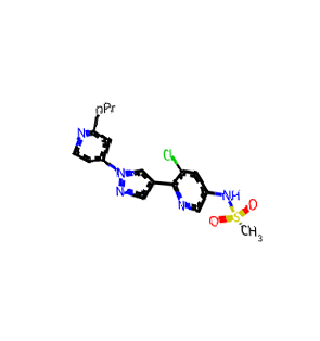 CCCc1cc(-n2cc(-c3ncc(NS(C)(=O)=O)cc3Cl)cn2)ccn1